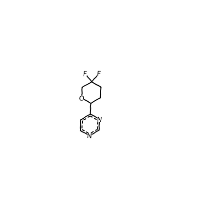 FC1(F)CCC(c2ccncn2)OC1